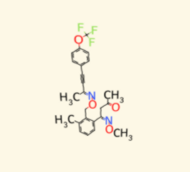 CO/N=C(/CC(C)=O)c1cccc(C)c1CO/N=C(\C)C#Cc1ccc(OC(F)(F)F)cc1